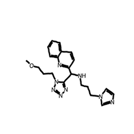 COCCCn1nnnc1C(NCCCn1ccnc1)c1ccc2ccccc2n1